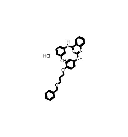 Cc1cccc(Nc2nc(Nc3ccc(OCCCOCc4ccccc4)cc3)nc3ccccc23)c1.Cl